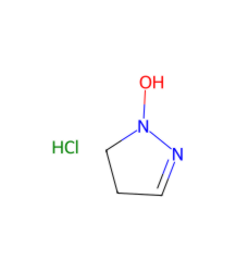 Cl.ON1CCC=N1